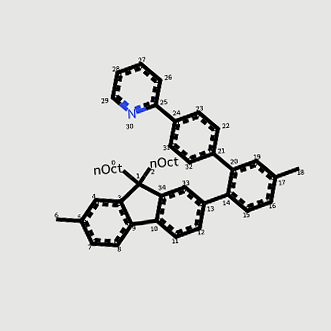 CCCCCCCCC1(CCCCCCCC)c2cc(C)ccc2-c2ccc(-c3ccc(C)cc3-c3ccc(-c4ccccn4)cc3)cc21